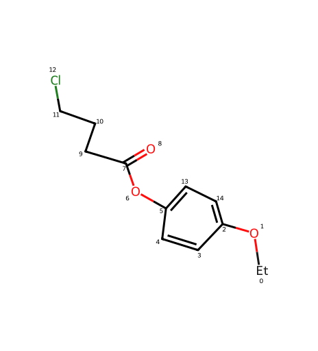 CCOc1ccc(OC(=O)CCCCl)cc1